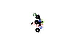 CCOc1ccc2c(c1)c(C(=O)C(=O)NC1CCCCC1)c(C(F)(F)F)n2Cc1ccc(Cl)cc1